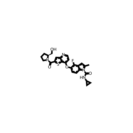 Cc1cc2c(F)c(Oc3ccnc4cc(C(=O)N5CCC[C@H]5CO)sc34)ccc2n1C(=O)NC1CC1